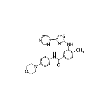 Cc1ccc(C(=O)Nc2ccc(N3CCOCC3)cc2)cc1Nc1nc(-c2ccncn2)cs1